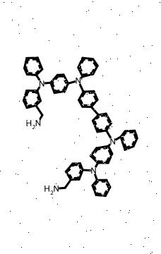 NCc1cccc(N(c2ccccc2)c2ccc(N(c3ccccc3)c3ccc(-c4ccc(N(c5ccccc5)c5ccc(N(c6ccccc6)c6cccc(CN)c6)cc5)cc4)cc3)cc2)c1